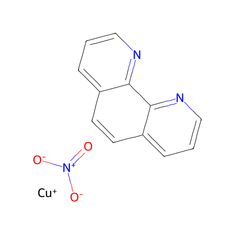 O=[N+]([O-])[O-].[Cu+].c1cnc2c(c1)ccc1cccnc12